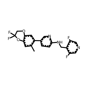 Cc1cc2c(cc1-c1ccc(NCc3c(F)cncc3F)nc1)OCC(F)(F)O2